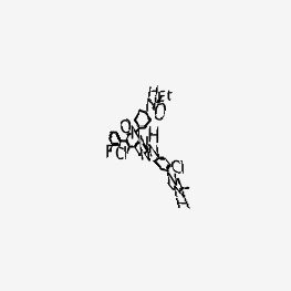 CCC(=O)NC1CCC(n2c(=O)c(-c3cccc(F)c3Cl)c(C)c3cnc(Nc4ccc(N5CCNC(C)C5)c(Cl)c4)nc32)CC1